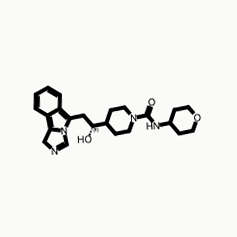 O=C(NC1CCOCC1)N1CCC([C@H](O)Cc2c3ccccc3c3n2C=NC3)CC1